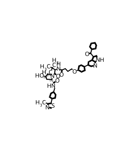 Cc1ncsc1-c1ccc(CNC(=O)[C@@H]2C[C@@H](O)CN2C(=O)C(NC(=O)CCCOc2ccc(-c3cnc4[nH]cc(C(=O)c5ccccc5)c4c3)cc2)C(C)(C)C)cc1